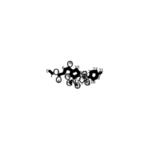 CCOC(=O)c1cc(=O)c2ccc(OS(=O)(=O)c3ccc(C)cc3)c([N+](=O)[O-])c2o1